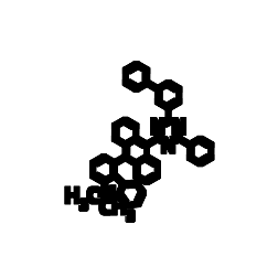 C[Si]1(C)c2ccccc2-c2c(-c3c4ccccc4c(-c4nc(-c5ccccc5)nc(-c5cccc(-c6ccccc6)c5)n4)c4ccccc34)cccc21